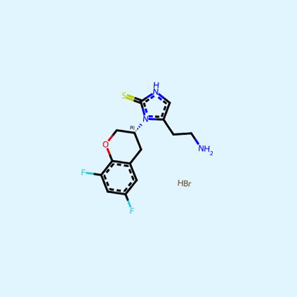 Br.NCCc1c[nH]c(=S)n1[C@H]1COc2c(F)cc(F)cc2C1